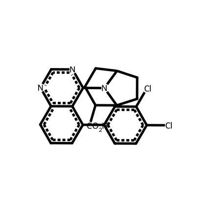 O=C(O)C1CCC2CCC1N2c1ncnc2cccc(-c3ccc(Cl)c(Cl)c3)c12